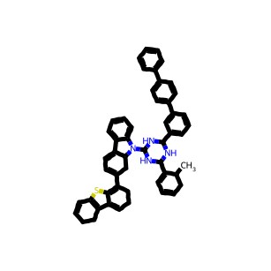 CC1CC=CC=C1C1NC(c2cccc(-c3ccc(-c4ccccc4)cc3)c2)NC(N2c3ccccc3C3=CC=C(C4=c5sc6c(c5=CCC4)CCC=C6)CC32)N1